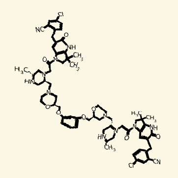 C[C@@H]1CN(CC(=O)N2CC(C)(C)c3[nH]c(=O)c(Cc4ccc(Cl)cc4C#N)cc32)[C@@H](CN2CCO[C@H](COc3cccc(OC[C@@H]4CN(C[C@H]5CN[C@H](C)CN5CC(=O)N5CC(C)(C)c6[nH]c(=O)c(Cc7ccc(Cl)cc7C#N)cc65)CCO4)c3)C2)CN1